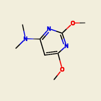 COc1cc(N(C)C)nc(OC)n1